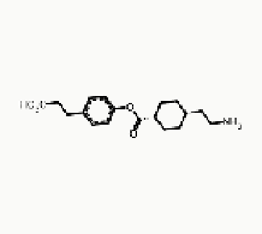 NCC[C@H]1CC[C@H](C(=O)Oc2ccc(CCC(=O)O)cc2)CC1